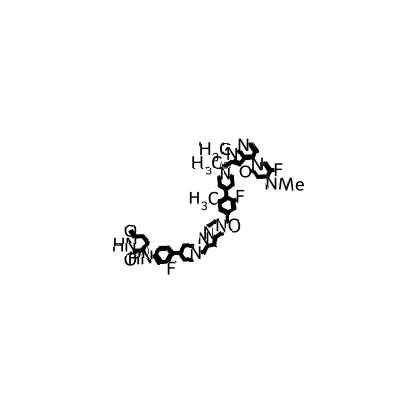 CNc1cc(=O)n(-c2ccnc3c2cc([C@H](C)N2CC=C(c4c(C)cc(C(=O)N5CCn6nc(CN7CCC(c8ccc(N[C@H]9CCC(=O)NC9=O)cc8F)CC7)cc6C5)cc4F)CC2)n3C)cc1F